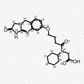 O=C(O)CN(C(=O)CCCOc1ccc2c(c1)N=C1NC(=O)CN1C2)C1CCCCC1